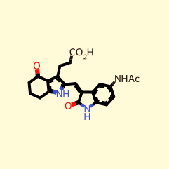 CC(=O)Nc1ccc2c(c1)/C(=C/c1[nH]c3c(c1CCC(=O)O)C(=O)CCC3)C(=O)N2